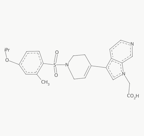 Cc1cc(OC(C)C)ccc1S(=O)(=O)N1CC=C(c2cn(CC(=O)O)c3cnccc23)CC1